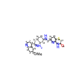 COc1ccc2nccc(C(N)C[C@H]3CC[C@H](NCc4ccc5c(n4)NC(=O)CS5)CC3)c2c1